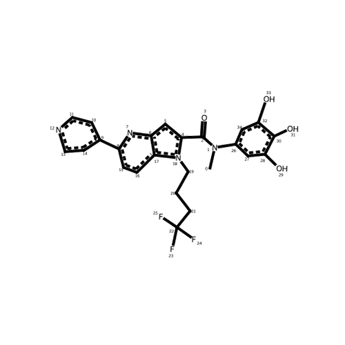 CN(C(=O)c1cc2nc(-c3ccncc3)ccc2n1CCCC(F)(F)F)c1cc(O)c(O)c(O)c1